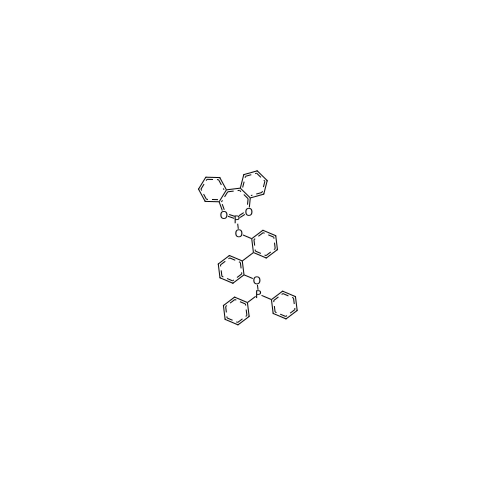 c1ccc(P(Oc2ccccc2-c2ccccc2Op2oc3ccccc3c3ccccc3o2)c2ccccc2)cc1